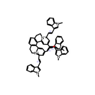 Cn1cc(/C=C/c2cc(/C=C/c3cn(C)c4ccccc34)[n+]3c(c2)-c2c(ccc4c2-c2cc(/C=C/c5cn(C)c6ccccc56)cc(/C=C/c5cn(C)c6ccccc56)[n+]2CC4)CC3)c2ccccc21